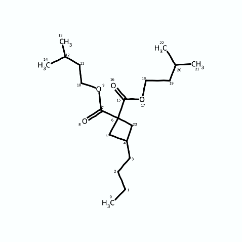 CCCCC1CC(C(=O)OCCC(C)C)(C(=O)OCCC(C)C)C1